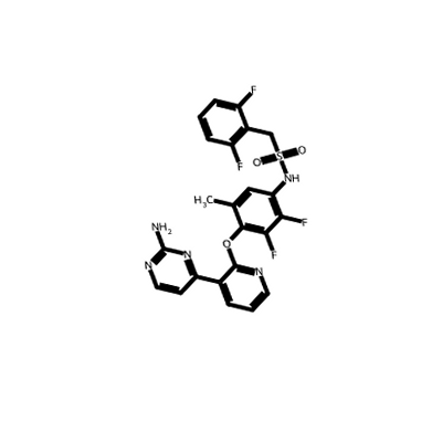 Cc1cc(NS(=O)(=O)Cc2c(F)cccc2F)c(F)c(F)c1Oc1ncccc1-c1ccnc(N)n1